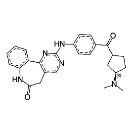 CN(C)[C@@H]1CCC(C(=O)c2ccc(Nc3ncc4c(n3)-c3ccccc3NC(=O)C4)cc2)C1